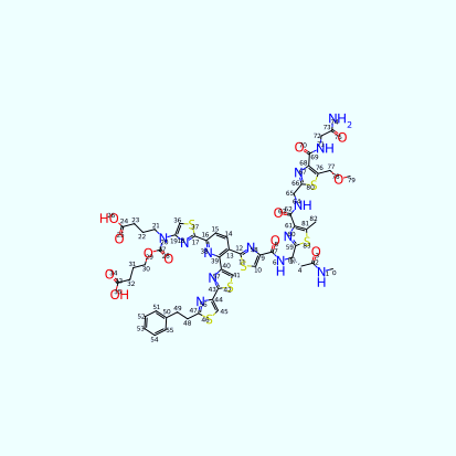 CNC(=O)C[C@H](NC(=O)c1csc(-c2ccc(-c3nc(N(CCCC(=O)O)C(=O)OCCCC(=O)O)cs3)nc2-c2csc(-c3csc(CCc4ccccc4)n3)n2)n1)c1nc(C(=O)NCc2nc(C(=O)NCC(N)=O)c(COC)s2)c(C)s1